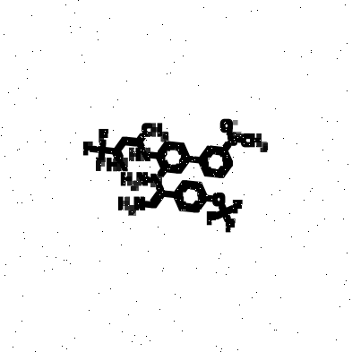 C/C(=C/C(=N)C(F)(F)F)Nc1ccc(-c2cccc([S+](C)[O-])c2)cc1N(N)/C(=C\N)c1ccc(OC(F)(F)F)cc1